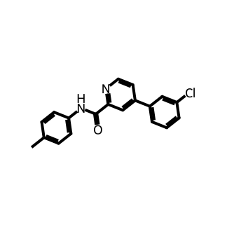 Cc1ccc(NC(=O)c2cc(-c3cccc(Cl)c3)ccn2)cc1